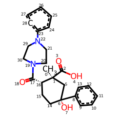 C[C@]1(C(=O)O)C[C@@](O)(c2ccccc2)CC[C@@H]1C(=O)N1CCN(c2ccccc2)CC1